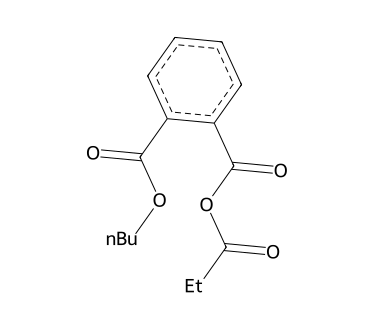 CCCCOC(=O)c1ccccc1C(=O)OC(=O)CC